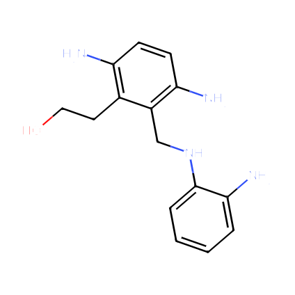 Nc1ccccc1NCc1c(N)ccc(N)c1CCO